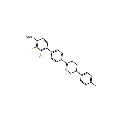 COc1ccc(-c2ccc(C3=CCC(c4ccc(C)cc4)CC3)cc2)c(Cl)c1F